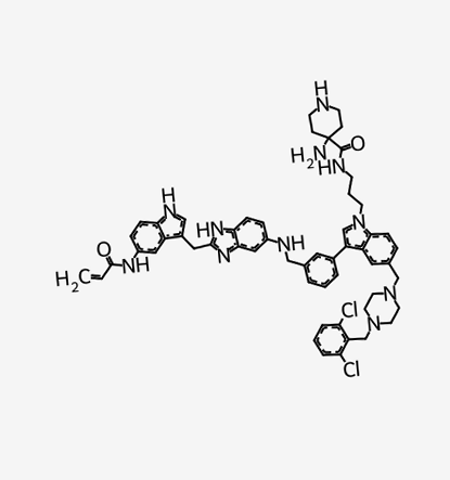 C=CC(=O)Nc1ccc2[nH]cc(Cc3nc4cc(NCc5cccc(-c6cn(CCCNC(=O)C7(N)CCNCC7)c7ccc(CN8CCN(Cc9c(Cl)cccc9Cl)CC8)cc67)c5)ccc4[nH]3)c2c1